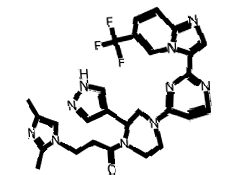 Cc1cn(CCC(=O)N2CCN(c3ccnc(-c4cnc5ccc(C(F)(F)F)cn45)n3)CC2c2cn[nH]c2)c(C)n1